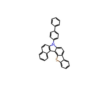 c1ccc(-c2ccc(-n3c4ccc5ccccc5c4c4c5sc6ccccc6c5ccc43)cc2)cc1